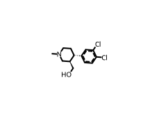 CN1CC[C@H](c2ccc(Cl)c(Cl)c2)[C@@H](CO)C1